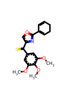 COc1cc(C(=S)c2coc(C3=CCCC=C3)n2)cc(OC)c1OC